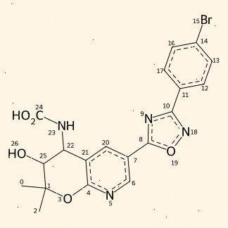 CC1(C)Oc2ncc(-c3nc(-c4ccc(Br)cc4)no3)cc2C(NC(=O)O)C1O